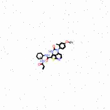 C=CC(=O)N[C@@H]1CCCCC1NC(=O)c1sc2nccc3c2c1NC(=O)N3c1ccc(OC(C)C)cc1C